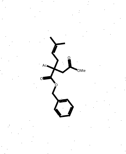 COC(=O)CC(CC=C(C)C)(C(C)=O)C(=O)OCc1ccccc1